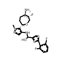 Cn1ncc(NC(O)c2csc(-c3c(F)cccc3F)n2)c1[C@@H]1CC[C@@H](N)[C@H](F)CO1